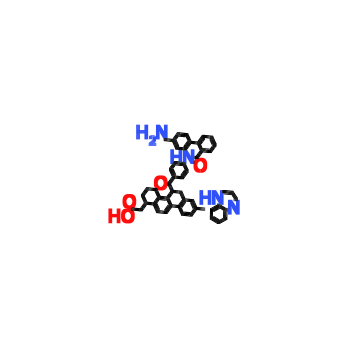 C1=CNc2ccccc2N=C1.Cc1ccc2c(c1)CC(C(=O)c1ccc(NC(=O)c3ccccc3-c3ccc(CN)cc3)cc1)c1c-2ccc2c1CCCC2CC(=O)O